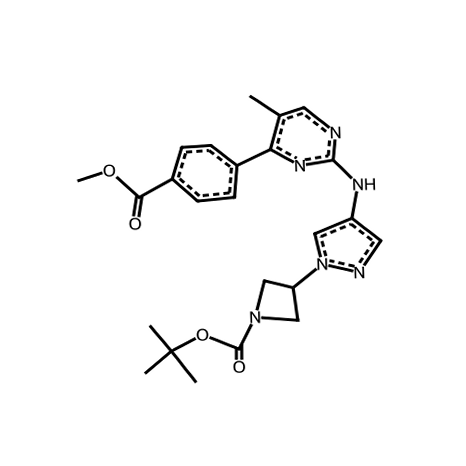 COC(=O)c1ccc(-c2nc(Nc3cnn(C4CN(C(=O)OC(C)(C)C)C4)c3)ncc2C)cc1